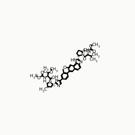 COC(=O)N[C@H](C(=O)N1[C@@H](C)CC[C@H]1c1nc2ccc3cc4c(cc3c2[nH]1)OCc1cc(-c2cnc([C@@H]3C[C@H](C)CN3C(=O)[C@@H](NC(=O)OC)[C@@H](C)OC)[nH]2)ccc1-4)C(C)C